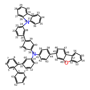 c1ccc(-c2ccccc2-c2cccc(N(c3ccc(-c4cccc(-n5c6ccccc6c6ccccc65)c4)cc3)c3ccc(-c4ccc5c(c4)oc4ccccc45)cc3)c2)cc1